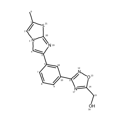 Cc1cn2cc(-c3cccc(-c4noc(CO)n4)c3)nc2s1